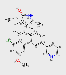 CC[C@@]12CC[C@@H](c3ccc(OC)cc3Cl)[C@H](c3ccc(-c4cccnc4)cc3)[C@@H]1[C@@H](C)NC2=O